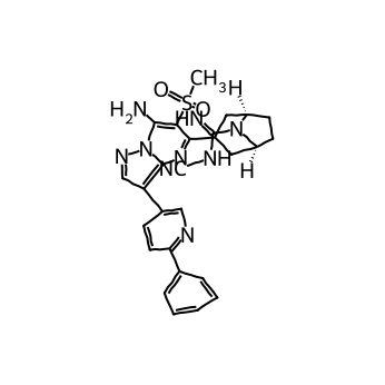 CS(=O)(=O)c1c(C2C[C@H]3CC[C@@H](C2)N3C(=N)NC#N)nc2c(-c3ccc(-c4ccccc4)nc3)cnn2c1N